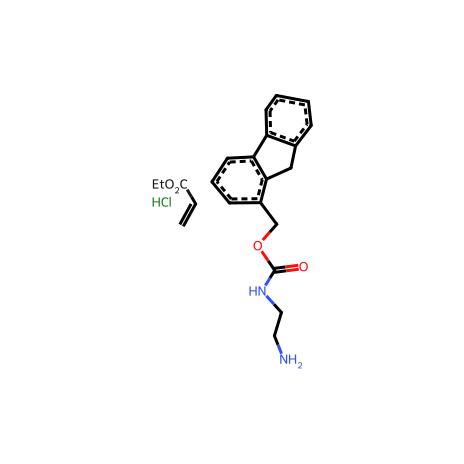 C=CC(=O)OCC.Cl.NCCNC(=O)OCc1cccc2c1Cc1ccccc1-2